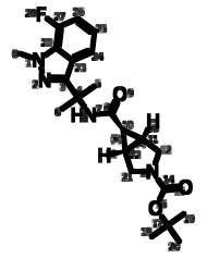 Cn1nc(C(C)(C)NC(=O)[C@H]2[C@@H]3CN(C(=O)OC(C)(C)C)C[C@@H]32)c2cccc(F)c21